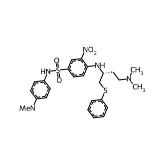 CNc1ccc(NS(=O)(=O)c2ccc(N[C@H](CCN(C)C)CSc3ccccc3)c([N+](=O)[O-])c2)cc1